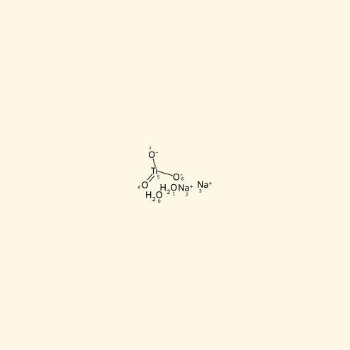 O.O.[Na+].[Na+].[O]=[Ti]([O-])[O-]